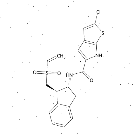 C=CS(=O)(=O)C[C@@H]1c2ccccc2C[C@H]1NC(=O)c1cc2cc(Cl)sc2[nH]1